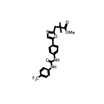 COC(=O)C(C)(C)Cc1ncc(-c2ccc(NC(=O)Nc3ccc(C(F)(F)F)cc3)cc2)o1